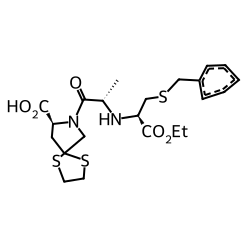 CCOC(=O)[C@H](CSCc1ccccc1)N[C@@H](C)C(=O)N1CC2(C[C@H]1C(=O)O)SCCS2